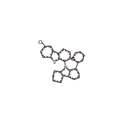 Clc1ccc2sc3c(-n4c5ccccc5c5cccc(-c6ccccc6)c54)c(Cl)ccc3c2c1